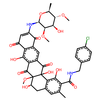 CO[C@@H]1[C@@H](O)[C@@H](OC)[C@@H](NC2=CC(=O)c3c(cc4c(c3O)C(=O)C3(OC)[C@H](O)Cc5cc(C)c(C(=O)NCc6ccc(Cl)cc6)c(O)c5C3(O)C4=O)C2=O)O[C@H]1C